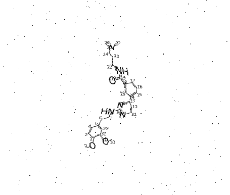 COc1ccc(CCNc2nccc(-c3cccc(C(=O)NCCCN(C)C)c3)n2)cc1OC